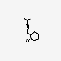 CC(C)C#CC[C@H]1CCCC[C@H]1O